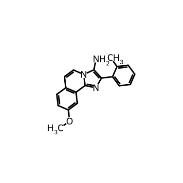 COc1ccc2ccn3c(N)c(-c4ccccc4C)nc3c2c1